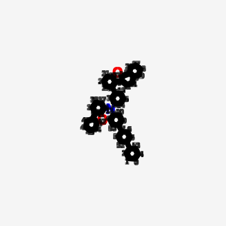 c1ccc(-c2ccc(-c3ccc(N(c4cccc(-c5cccc6oc7c8ccccc8ccc7c56)c4)c4cccc5c4oc4ccccc45)cc3)cc2)cc1